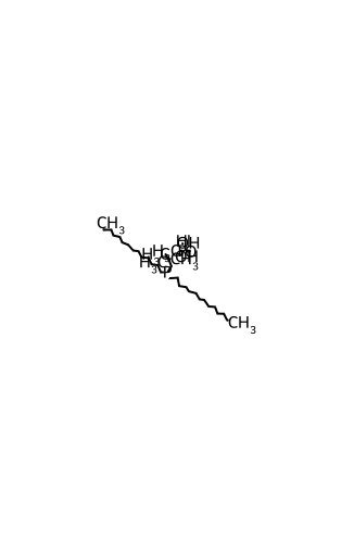 CCCCCCCCCCCCCCP(CCCCCCCCCCCCCC)CC(C)(C)C.CP(=O)(O)O.I